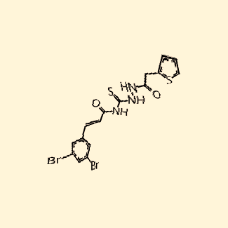 O=C(/C=C/c1cc(Br)cc(Br)c1)NC(=S)NNC(=O)Cc1cccs1